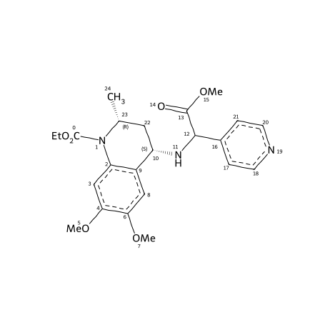 CCOC(=O)N1c2cc(OC)c(OC)cc2[C@@H](NC(C(=O)OC)c2ccncc2)C[C@H]1C